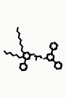 CCCCCCCCc1cc(N=C(C)C=Nc2cc(-c3ccccc3)cc(-c3ccccc3)c2)cc(-c2ccccc2)c1CCCCCC